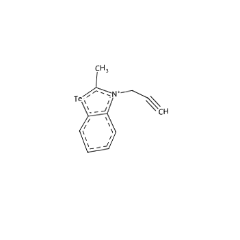 C#CC[n+]1c(C)[te]c2ccccc21